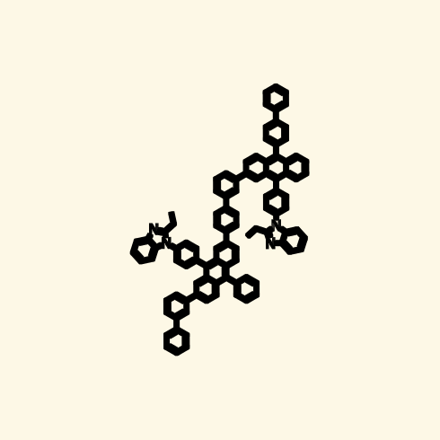 CCc1nc2ccccc2n1-c1ccc(-c2c3ccccc3c(-c3ccc(-c4ccccc4)cc3)c3ccc(-c4cccc(-c5ccc(-c6ccc7c(-c8ccccc8)c8ccc(-c9cccc(-c%10ccccc%10)c9)cc8c(-c8ccc(-n9c(CC)nc%10ccccc%109)cc8)c7c6)cc5)c4)cc23)cc1